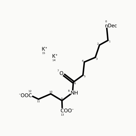 CCCCCCCCCCCCCCCC(=O)NC(CCC(=O)[O-])C(=O)[O-].[K+].[K+]